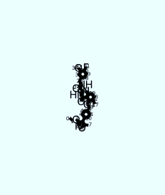 CCOc1noc(C)c1-c1ccc(COc2c(F)ccc3nc(C(=O)NCc4ccc(F)c(OC)c4)[nH]c(=O)c23)cc1